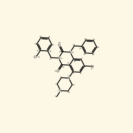 CN1CCN(c2cc(Br)cc3c2c(=O)n(Cc2ccccc2Cl)c(=O)n3Cc2ccccc2)CC1